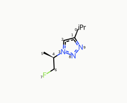 CC(C)c1cn([C@H](C)CF)nn1